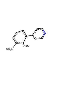 COc1c(C(=O)O)cccc1-c1ccncc1